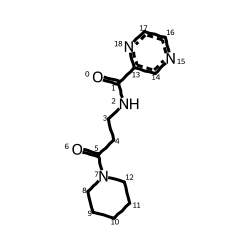 O=C(NCCC(=O)N1CCCCC1)c1cnccn1